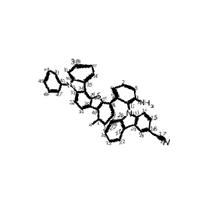 CC1CC=C(c2cccc(N)c2N2c3ccc(C#N)cc3C3C=CC=CC32)c2sc3c(ccc4c3c3ccccc3n4-c3ccccc3)c21